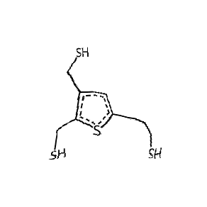 SCc1cc(CS)c(CS)s1